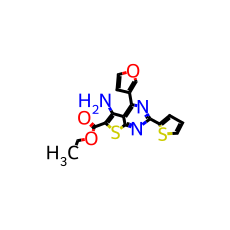 CCOC(=O)c1sc2nc(-c3cccs3)nc(-c3ccoc3)c2c1N